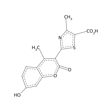 Cc1nc(-c2c(C)c3ccc(O)cc3oc2=O)sc1C(=O)O